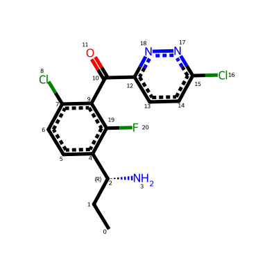 CC[C@@H](N)c1ccc(Cl)c(C(=O)c2ccc(Cl)nn2)c1F